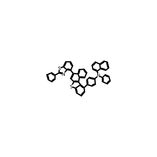 c1ccc(-c2nc3c(-c4cc5sc6cccc(-c7ccc(N(c8ccccc8)c8cccc9ccccc89)cc7)c6c5c5ccccc45)cccc3s2)cc1